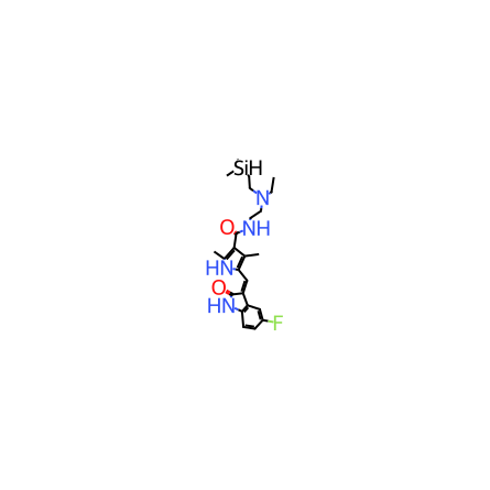 CCN(CCNC(=O)c1c(C)[nH]c(/C=C2\C(=O)Nc3ccc(F)cc32)c1C)CC[SiH](C)C